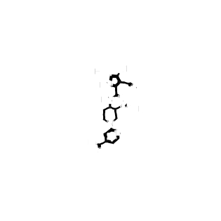 COC1CN(c2cc(C(=O)O)ccn2)CCC1NC(=O)c1[nH]c(C)c(Cl)c1C#N